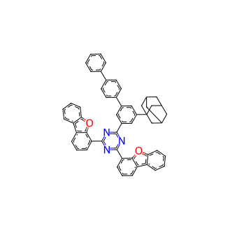 c1ccc(-c2ccc(-c3cc(-c4nc(-c5cccc6c5oc5ccccc56)nc(-c5cccc6c5oc5ccccc56)n4)cc(C45CC6CC(CC(C6)C4)C5)c3)cc2)cc1